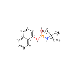 CO[C@@](C)(N=[P+]([O-])Oc1cccc2ccccc12)C(=O)O